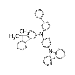 CC1(C)c2ccccc2-c2cc(N(c3ccc(-n4c5ccccc5c5ccccc54)cc3)c3cccc(-c4ccccc4)c3)ccc21